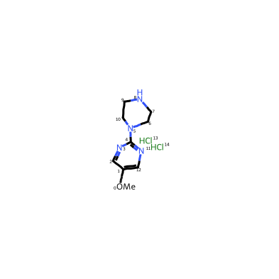 COc1cnc(N2CCNCC2)nc1.Cl.Cl